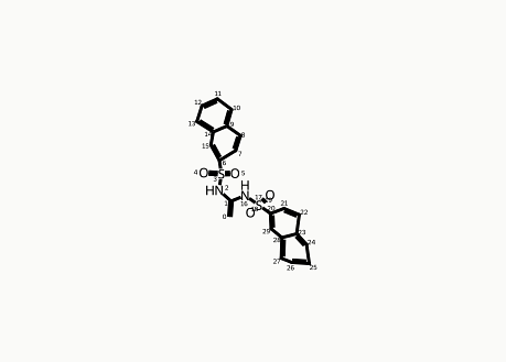 C=C(NS(=O)(=O)c1ccc2ccccc2c1)NS(=O)(=O)c1ccc2ccccc2c1